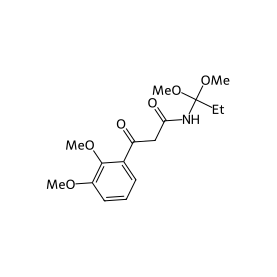 CCC(NC(=O)CC(=O)c1cccc(OC)c1OC)(OC)OC